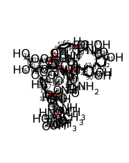 CN[C@H](CC(C)C)C(=O)N[C@H]1C(=O)N[C@@H](CC(N)=O)C(=O)N[C@H]2C(=O)N[C@H]3C(=O)N[C@H](C(=O)N[C@H](C(=O)O)c4cc(O)cc(O)c4-c4cc3ccc4O)[C@H](O)c3ccc(c(Cl)c3)Oc3cc2cc(c3O[C@@H]2O[C@H](CO)[C@@H](O)[C@H](O)[C@H]2O[C@H]2C[C@](C)(NC(=O)OCOC(=O)CCC(=O)NC(P(=O)(O)O)P(=O)(O)O)[C@H](O)[C@H](C)O2)Oc2ccc(cc2Cl)[C@H]1O